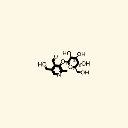 Cc1ncc(CO)c(C=O)c1O[C@@H]1O[C@H](CO)[C@@H](O)[C@H](O)[C@H]1O